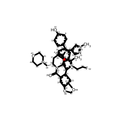 Cc1c(C(=O)N(c2ccc(O)cc2)c2cnn(C)c2)cc(-c2cc3c(cc2C(=O)N2Cc4ccccc4C[C@H]2CN2CCOCC2)OCO3)n1CCF